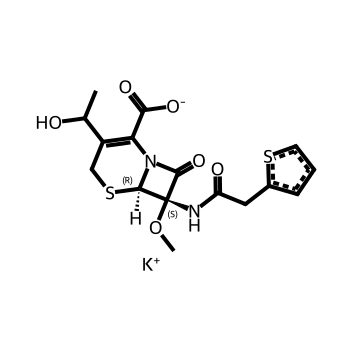 CO[C@@]1(NC(=O)Cc2cccs2)C(=O)N2C(C(=O)[O-])=C(C(C)O)CS[C@@H]21.[K+]